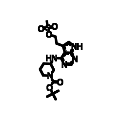 CC(C)(C)OC(=O)N1CCCC(Nc2ncnc3[nH]cc(CCOS(C)(=O)=O)c23)C1